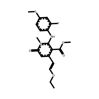 CCOC=Cc1cc(=O)n(C)c(Nc2ccc(SC)cc2F)c1C(=O)OC